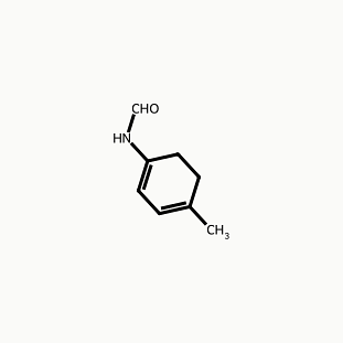 CC1=CC=C(NC=O)CC1